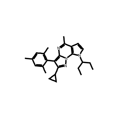 CCC(CC)n1ccc2c(C)nc3c(-c4c(C)cc(C)cc4C)c(C4CC4)nn3c21